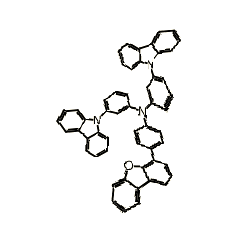 c1cc(N(c2ccc(-c3cccc4c3oc3ccccc34)cc2)c2cccc(-n3c4ccccc4c4ccccc43)c2)cc(-n2c3ccccc3c3ccccc32)c1